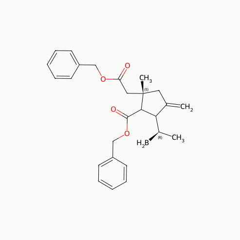 B[C@H](C)C1C(=C)C[C@@](C)(CC(=O)OCc2ccccc2)C1C(=O)OCc1ccccc1